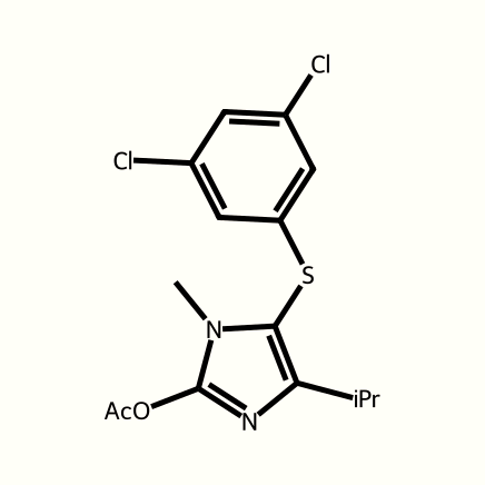 CC(=O)Oc1nc(C(C)C)c(Sc2cc(Cl)cc(Cl)c2)n1C